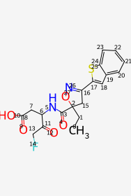 CCC1(C(=O)NC(CC(=O)O)C(=O)CF)CC(c2cc3ccccc3s2)=NO1